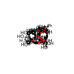 CC(C)C[C@H](C(=O)N[C@H]1C(=O)N[C@@H](CC(N)=O)C(=O)N[C@H]2C(=O)N[C@H]3C(=O)N[C@H](C(=O)N[C@H](C(=O)O)c4cc(O)cc(O)c4-c4cc3ccc4O)[C@H](O[C@H]3C[C@](C)(N)[C@@H](O)[C@H](C)O3)c3ccc(c(Cl)c3)Oc3cc2cc(c3O[C@@H]2O[C@H](CO)[C@@H](O)[C@H](O)[C@H]2O[C@H]2C[C@](C)(N)[C@@H](O)[C@H](C)O2)Oc2ccc(cc2Cl)[C@H]1O)N(C)C(=O)CC(P(=O)(O)O)P(=O)(O)O